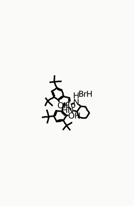 Br.CC(C)(C)c1cc([CH]=[Co]2(=[CH]c3cc(C(C)(C)C)cc(C(C)(C)C)c3O)[NH]C3CCCCC3[NH]2)c(O)c(C(C)(C)C)c1